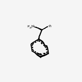 CCCC(N)c1cc[c]cc1